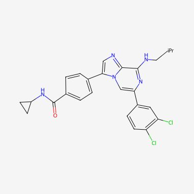 CC(C)CNc1nc(-c2ccc(Cl)c(Cl)c2)cn2c(-c3ccc(C(=O)NC4CC4)cc3)cnc12